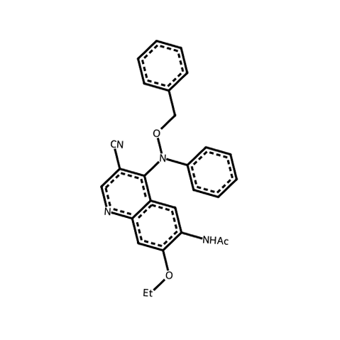 CCOc1cc2ncc(C#N)c(N(OCc3ccccc3)c3ccccc3)c2cc1NC(C)=O